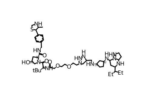 CCC(CC)C1CC(N[C@H]2CC[C@H](NCC3CN(CCOCCOCC(=O)N[C@H](C(=O)N4C[C@H](O)C[C@H]4C(=O)NCc4ccc(C5SCNC5C)cc4)C(C)(C)C)NN3)C2)N2NCCC2N1